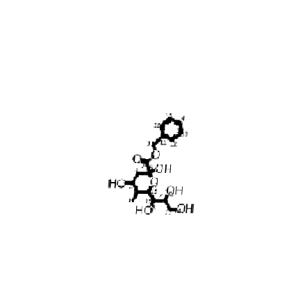 CC1C(O)CC(O)(C(=O)OCc2ccccc2)OC1C(O)C(O)CO